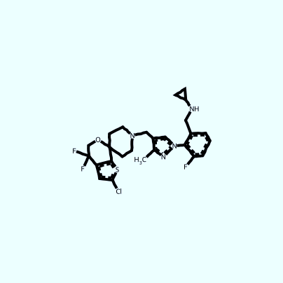 Cc1nn(-c2c(F)cccc2CNC2CC2)cc1CN1CCC2(CC1)OCC(F)(F)c1cc(Cl)sc12